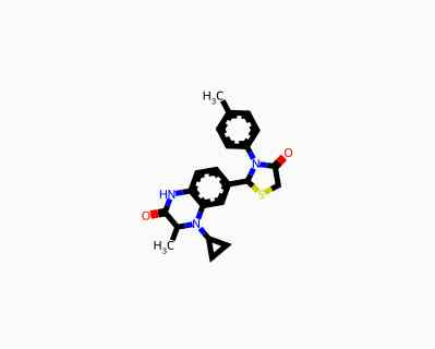 Cc1ccc(N2C(=O)CSC2c2ccc3c(c2)N(C2CC2)C(C)C(=O)N3)cc1